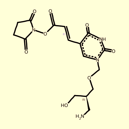 NC[C@@H](CO)COCn1cc(/C=C/C(=O)ON2C(=O)CCC2=O)c(=O)[nH]c1=O